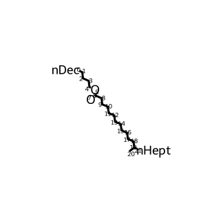 CCCCCCCCCCCCCCOC(=O)CCCCCCCCCCCC(C)CCCCCCC